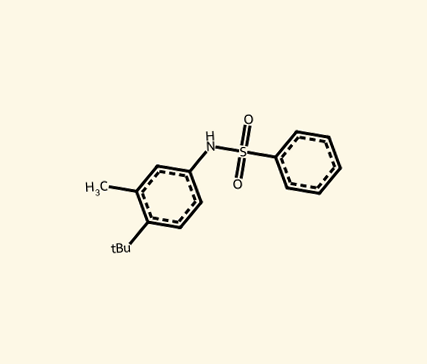 Cc1cc(NS(=O)(=O)c2ccccc2)ccc1C(C)(C)C